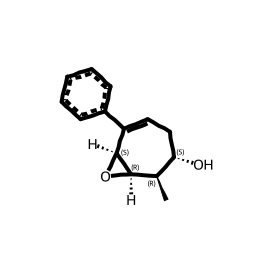 C[C@H]1[C@H]2O[C@H]2C(c2ccccc2)=CC[C@@H]1O